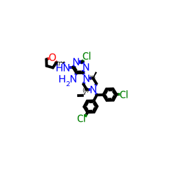 CC[C@@H]1CN(c2nc(Cl)nc(NC[C@@H]3CCCO3)c2N)[C@@H](C)CN1C(c1ccc(Cl)cc1)c1ccc(Cl)cc1